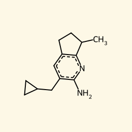 CC1CCc2cc(CC3CC3)c(N)nc21